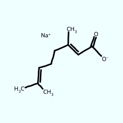 CC(C)=CCCC(C)=CC(=O)[O-].[Na+]